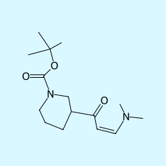 CN(C)/C=C\C(=O)C1CCCN(C(=O)OC(C)(C)C)C1